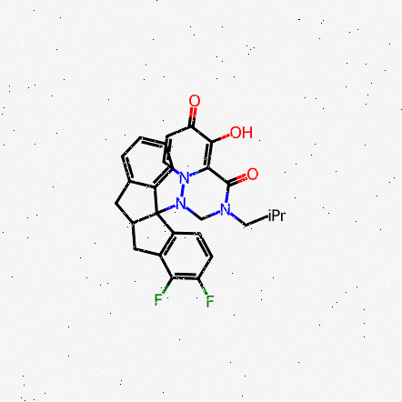 CC(C)CN1CN(C23c4ccccc4CC2Cc2c3ccc(F)c2F)n2ccc(=O)c(O)c2C1=O